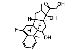 CC1C[C@H]2[C@@H]3CC(F)=C4C=CC=C[C@]4(C)[C@@]3(F)C(O)C[C@]2(C)[C@@]1(O)C(=O)CO